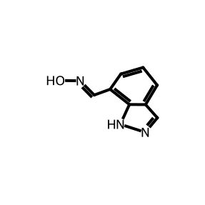 ON=Cc1cccc2cn[nH]c12